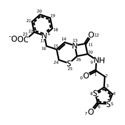 O=C(Cc1csc(=O)s1)NC1C(=O)N2C=C(C[n+]3ccccc3C(=O)[O-])CSC12